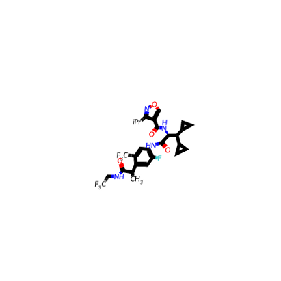 CC(C)c1nocc1C(=O)N[C@H](C(=O)Nc1cc(C(F)(F)F)c(C(C)C(=O)NCC(F)(F)F)cc1F)C(C1CC1)C1CC1